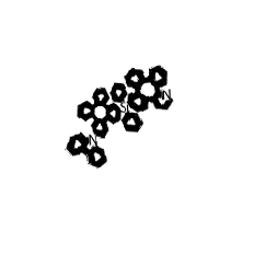 c1ccc([Si](c2ccccc2)(c2ccc3c(c2)-c2ccccc2-c2ccccc2-c2cc(-n4c5ccccc5c5ccccc54)ccc2-3)c2ccc3c(c2)-c2ccccc2-c2ccccc2-c2ncccc2-3)cc1